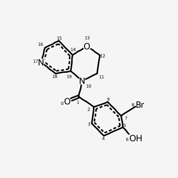 O=C(c1ccc(O)c(Br)c1)N1CCOc2ccncc21